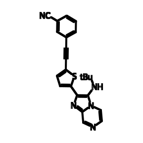 CC(C)(C)Nc1c(-c2ccc(C#Cc3cccc(C#N)c3)s2)nc2cnccn12